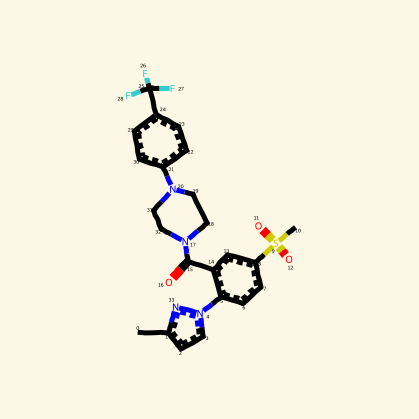 Cc1ccn(-c2ccc(S(C)(=O)=O)cc2C(=O)N2CCN(c3ccc(C(F)(F)F)cc3)CC2)n1